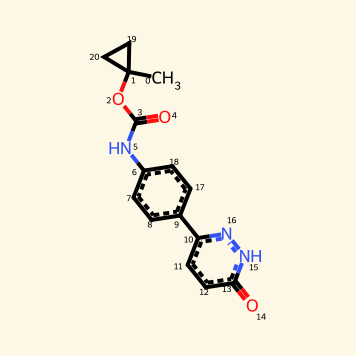 CC1(OC(=O)Nc2ccc(-c3ccc(=O)[nH]n3)cc2)CC1